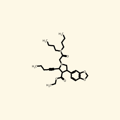 CCCC#CC1C(C(=O)OCC)C(c2ccc3c(c2)OCO3)CN1CC(=O)N(CCCC)CCCC